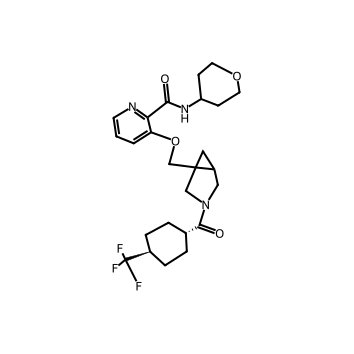 O=C(NC1CCOCC1)c1ncccc1OCC12CC1CN(C(=O)[C@H]1CC[C@H](C(F)(F)F)CC1)C2